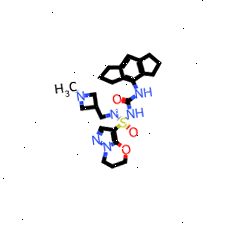 CN1CC(CN=S(=O)(NC(=O)Nc2c3c(cc4c2CCC4)CCC3)c2cnn3c2OCCC3)C1